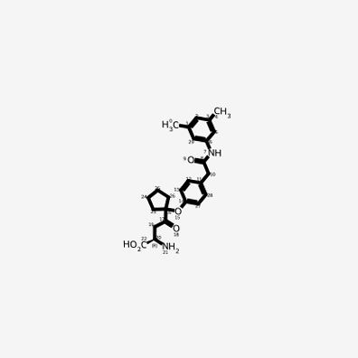 Cc1cc(C)cc(NC(=O)Cc2ccc(OC3(C(=O)C[C@@H](N)C(=O)O)CCCC3)cc2)c1